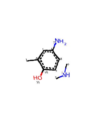 CNC.Cc1cc(N)ccc1O